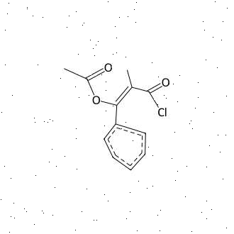 CC(=O)OC(=C(C)C(=O)Cl)c1ccccc1